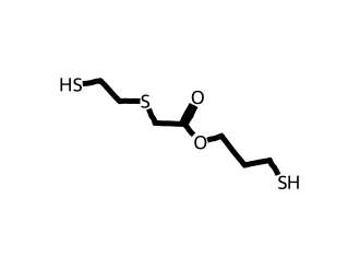 O=C(CSCCS)OCCCS